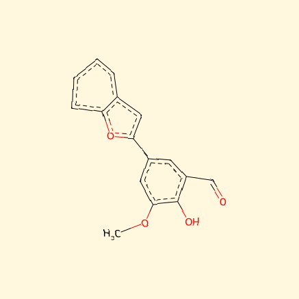 COc1cc(-c2cc3ccccc3o2)cc(C=O)c1O